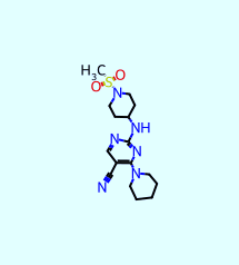 CS(=O)(=O)N1CCC(Nc2ncc(C#N)c(N3CCCCC3)n2)CC1